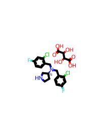 Fc1ccc(CN(Cc2ccc(F)cc2Cl)[C@H]2CCNC2)c(Cl)c1.O=C(O)C(O)C(O)C(=O)O